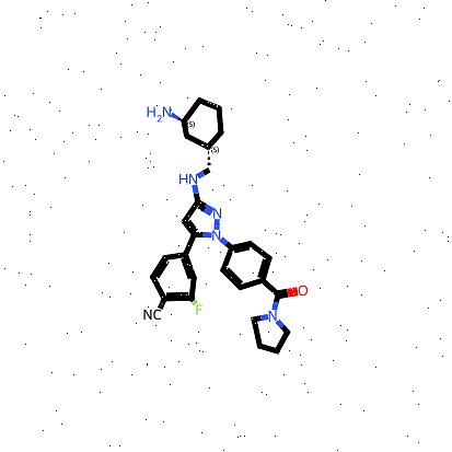 N#Cc1ccc(-c2cc(NC[C@H]3CCC[C@H](N)C3)nn2-c2ccc(C(=O)N3CCCC3)cc2)cc1F